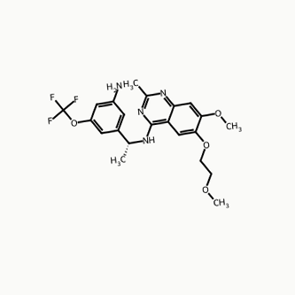 COCCOc1cc2c(N[C@H](C)c3cc(N)cc(OC(F)(F)F)c3)nc(C)nc2cc1OC